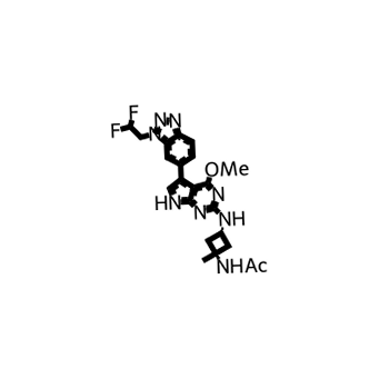 COc1nc(N[C@H]2C[C@](C)(NC(C)=O)C2)nc2[nH]cc(-c3ccc4nnn(CC(F)F)c4c3)c12